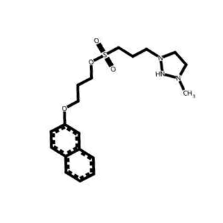 CN1CCN(CCCS(=O)(=O)OCCCOc2ccc3ccccc3c2)N1